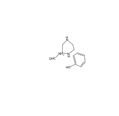 C1CNCCN1.NC=O.Oc1ccccc1